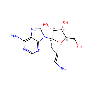 NC=CC[C@@]1(n2cnc3c(N)ncnc32)O[C@H](CO)[C@@H](O)[C@H]1O